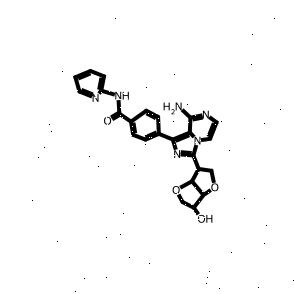 Nc1nccn2c(C3COC4C(O)COC34)nc(-c3ccc(C(=O)Nc4ccccn4)cc3)c12